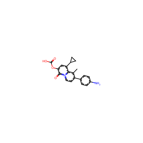 Cc1c(-c2ccc(N)cc2)ccn2c(=O)c(OC(=O)O)cc(C3CC3)c12